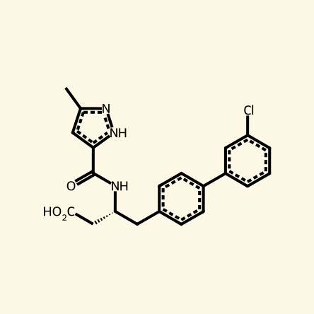 Cc1cc(C(=O)N[C@@H](CC(=O)O)Cc2ccc(-c3cccc(Cl)c3)cc2)[nH]n1